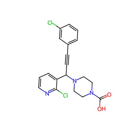 O=C(O)N1CCN(C(C#Cc2cccc(Cl)c2)c2cccnc2Cl)CC1